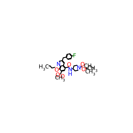 CCCCOc1c(C(=O)OC)cc(C(=O)NC2CCN(C(=O)OC(C)(C)C)CC2)c2cc(Cc3ccc(F)cc3)cnc12